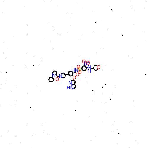 O=C(NS(=O)(=O)c1ccc(NCC2CCOCC2)c([N+](=O)[O-])c1)c1ccc(C2=CCN(C(=O)C3CCCN3c3ccccc3)CC2)cc1Oc1cnc2[nH]ccc2c1